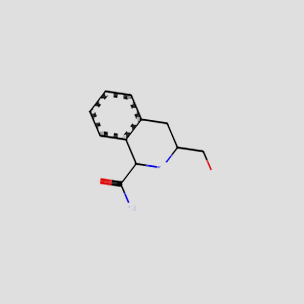 Cl.NC(=O)C1NC(CO)Cc2ccccc21